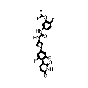 O=C1CCC(c2c(F)cc(N3CC(NC(=O)Nc4ccc(F)c(OC(F)F)c4)C3)cc2F)C(=O)N1